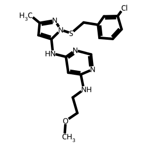 COCCNc1cc(Nc2cc(C)nn2SCc2cccc(Cl)c2)ncn1